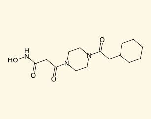 O=C(CC(=O)N1CCN(C(=O)CC2CCCCC2)CC1)NO